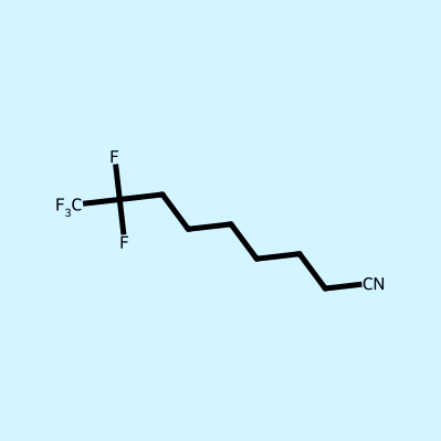 N#CCCCCCCC(F)(F)C(F)(F)F